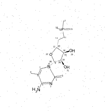 C=C1N=C(N)C(C)=CN1[C@@H]1O[C@H](CCP(=C)(C)C)[C@@H](O)[C@H]1O